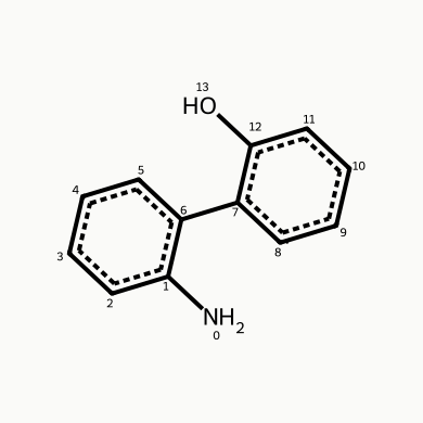 Nc1ccccc1-c1[c]cccc1O